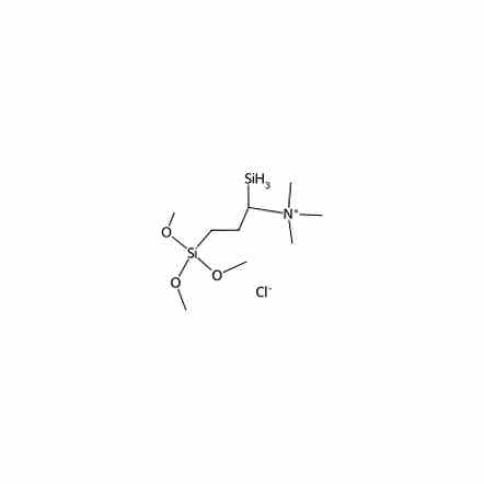 CO[Si](CCC([SiH3])[N+](C)(C)C)(OC)OC.[Cl-]